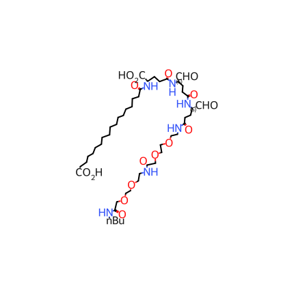 CCCCNC(=O)COCCOCCNC(=O)COCCOCCNC(=O)CC[C@@H](C=O)NC(=O)CC[C@@H](C=O)NC(=O)CCC(NC(=O)CCCCCCCCCCCCCCCCC(=O)O)C(=O)O